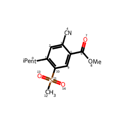 CCCC(C)c1cc(C#N)c(C(=O)OC)cc1S(C)(=O)=O